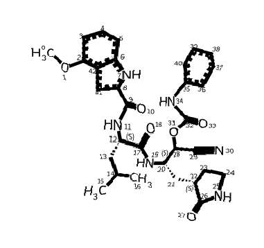 COc1cccc2[nH]c(C(=O)N[C@@H](CC(C)C)C(=O)N[C@@H](C[C@@H]3CCNC3=O)C(C#N)OC(=O)Nc3ccccc3)cc12